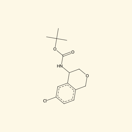 CC(C)(C)OC(=O)NC1COCc2ccc(Cl)cc21